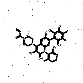 C=CC(=O)N1[C@H](C)CN(C2=C(C#N)C(O)N(C3=C(C)CCN=C3C(C)C)c3nc(-c4c(O)c(F)c(F)c(Cl)c4Cl)c(Cl)cc32)C[C@@H]1C